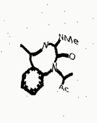 CNC1N=C(C)c2ccccc2N(C(C)C(C)=O)C1=O